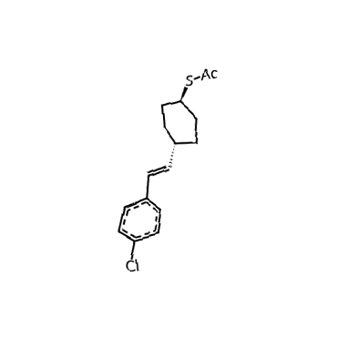 CC(=O)S[C@H]1CC[C@H](C=Cc2ccc(Cl)cc2)CC1